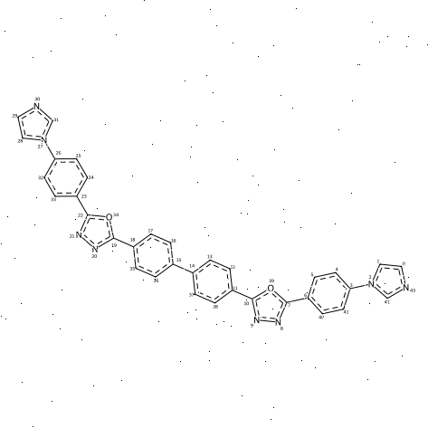 c1cn(-c2ccc(-c3nnc(-c4ccc(-c5ccc(-c6nnc(-c7ccc(-n8ccnc8)cc7)o6)cc5)cc4)o3)cc2)cn1